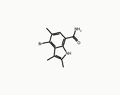 Cc1cc(C(N)=O)c2[nH]c(C)c(C)c2c1Br